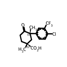 C[C@]1(C(=O)O)CCC(=O)[C@](C)(c2ccc(Cl)c(C(F)(F)F)c2)C1